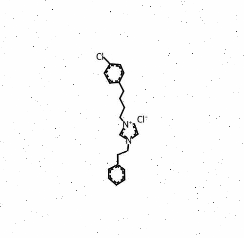 Clc1ccc(CCCC[n+]2ccn(CCc3ccccc3)c2)cc1.[Cl-]